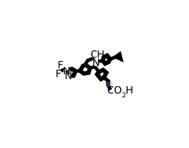 CC1Cc2cc(-c3cnn(C(F)F)c3)ccc2C(c2ccc(/C=C/C(=O)O)cc2)N1c1ccc(C2CC2)cc1